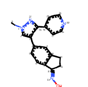 Cn1cc(-c2ccc3c(c2)CC/C3=N\O)c(-c2ccncc2)n1